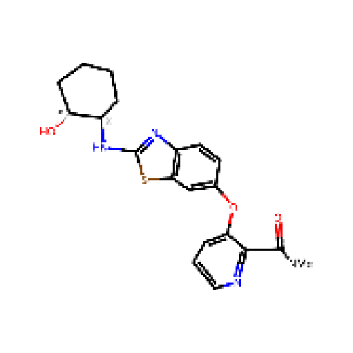 CNC(=O)c1ncccc1Oc1ccc2nc(N[C@@H]3CCCC[C@H]3O)sc2c1